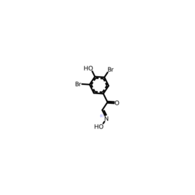 O=C(/C=N/O)c1cc(Br)c(O)c(Br)c1